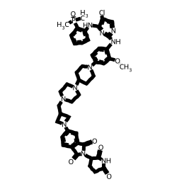 COc1cc(N2CCC(N3CCN(CC4CN(c5ccc6c(c5)C(=O)N(C5CCC(=O)NC5=O)C6=O)C4)CC3)CC2)ccc1Nc1ncc(Cl)c(Nc2ccccc2P(C)(C)=O)n1